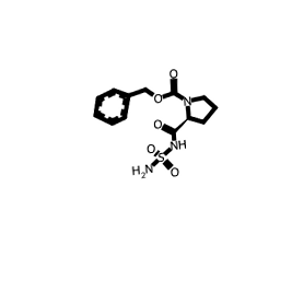 NS(=O)(=O)NC(=O)[C@@H]1CCCN1C(=O)OCc1ccccc1